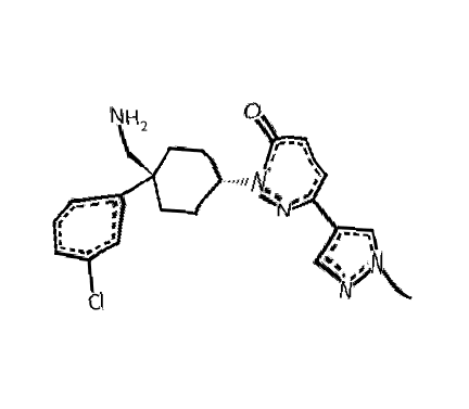 Cn1cc(-c2ccc(=O)n([C@H]3CC[C@@](CN)(c4cccc(Cl)c4)CC3)n2)cn1